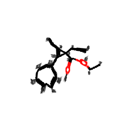 C=CC1(C(=O)OCC)C(C)=C1c1ccccc1